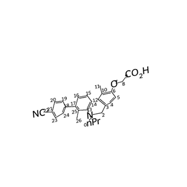 CCCN(Cc1ccc(OCC(=O)O)c(C)c1)c1cccc(-c2ccc(C#N)cc2)c1C